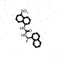 C[C@@H](NC(=O)Nc1cccc2c([N+](=O)[O-])cccc12)c1cccc2ccccc12